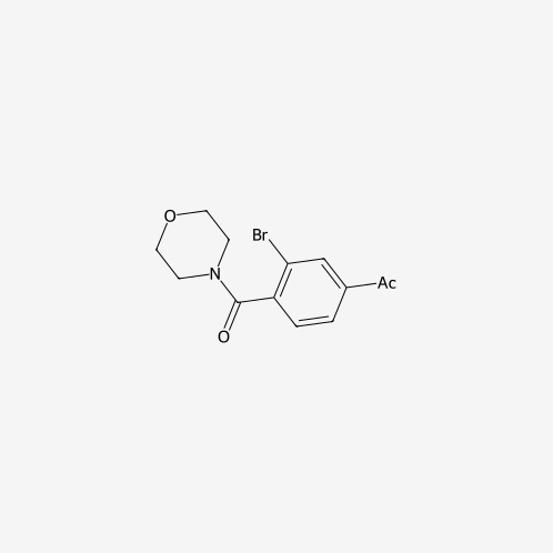 CC(=O)c1ccc(C(=O)N2CCOCC2)c(Br)c1